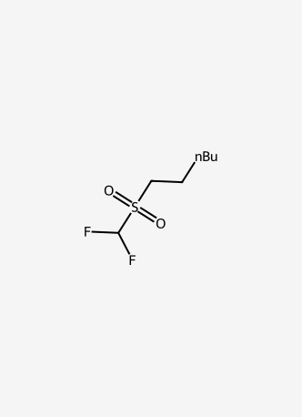 CCCCCCS(=O)(=O)C(F)F